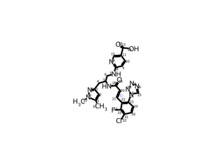 Cc1cc(CC(CNc2ccc(C(=O)O)cn2)NC(=O)/C=C/c2c(-n3cnnn3)ccc(Cl)c2F)nn1C